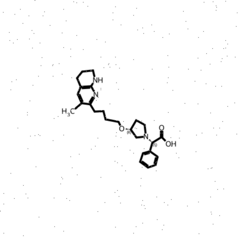 Cc1cc2c(nc1CCCCO[C@@H]1CCN([C@H](C(=O)O)c3ccccc3)C1)NCCC2